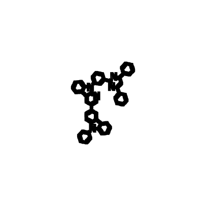 c1ccc(-c2cc(-c3ccccc3)nc(-c3cccc(-n4c5ccccc5c5cc(-c6ccc7c(c6)c6ccccc6n7-c6ccccc6)cnc54)c3)n2)cc1